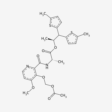 COc1ccnc(C(=O)N[C@@H](C)C(=O)O[C@@H](C)C(c2ccc(C)s2)c2ccc(C)s2)c1OCOC(C)=O